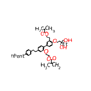 C=C(C)C(=O)OCCOc1cc(CCc2ccc(CCCCC)cc2)ccc1-c1ccc(OCCC(CC)(CO)CO)c(CCOC(=O)C(=C)C)c1